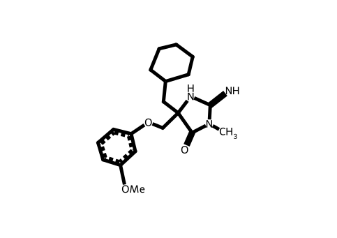 COc1cccc(OCC2(CC3CCCCC3)NC(=N)N(C)C2=O)c1